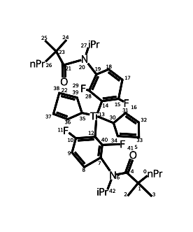 CCCC(C)(C)C(=O)N(c1ccc(F)[c]([Ti]([c]2c(F)ccc(N(C(=O)C(C)(C)CCC)C(C)C)c2F)([CH]2C=CC=C2)[CH]2C=CC=C2)c1F)C(C)C